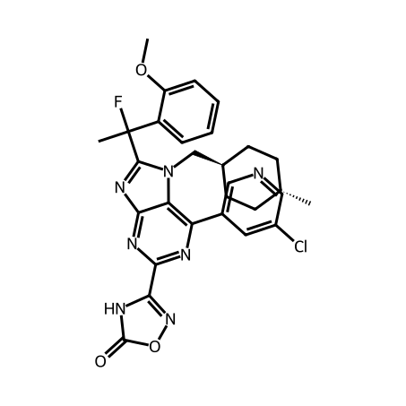 COc1ccccc1C(C)(F)c1nc2nc(-c3noc(=O)[nH]3)nc(-c3cncc(Cl)c3)c2n1C[C@H]1CC[C@H](C)CC1